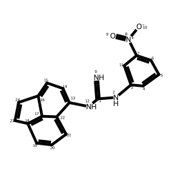 N=C(Nc1cccc([N+](=O)[O-])c1)Nc1ccc2c3c(cccc13)C=C2